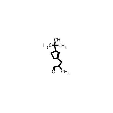 CC(C=O)CC1=CC(C(C)(C)C)CC1